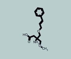 COCC(N)(COC/C=C/c1ccccc1)CC(=O)O